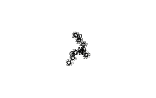 c1ccc(-c2ccc3c(c2)oc2ccc(-c4nc(-c5ccccc5)nc(-c5cccc(-c6ccc7c(c6)oc6ccccc67)c5)n4)cc23)cc1